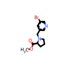 COC(=O)C1CCCN1Cc1cncc(Br)c1